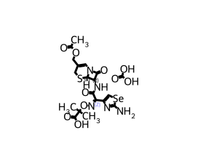 CC(=O)OCC1=CN2C(=O)[C@@H](NC(=O)/C(=N\OC(C)(C)C(=O)O)c3c[se]c(N)n3)[C@H]2SC1.O=C(O)O